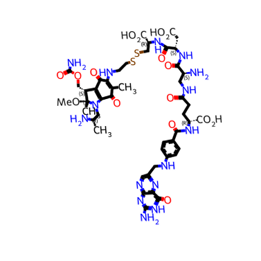 CO[C@@]1(C)[C@H](COC(N)=O)C2=C(C(=O)C(C)=C(NCCSSC[C@H](NC(=O)[C@H](CC(=O)O)NC(=O)[C@@H](N)CNC(=O)CC[C@@H](NC(=O)c3ccc(NCc4cnc5nc(N)[nH]c(=O)c5n4)cc3)C(=O)O)C(=O)O)C2=O)N1C[C@@H](C)N